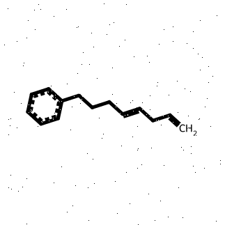 C=CCC=CCCCc1ccccc1